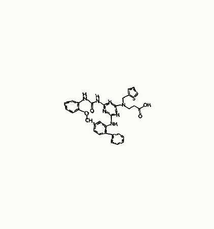 COc1ccccc1NC(=O)Nc1nc(Nc2ccccc2-c2ccccc2)nc(N(CCC(=O)O)Cc2cccs2)n1